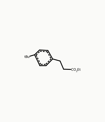 CCOC(=O)CCc1ccc(C(C)(C)C)cc1